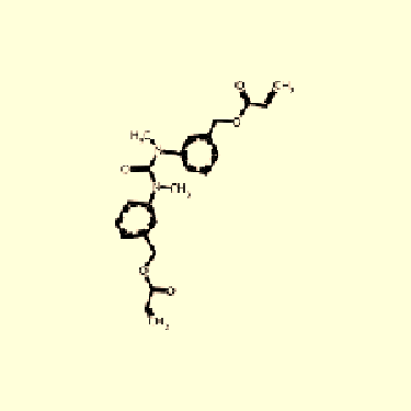 C=CC(=O)OCc1cccc(N(C)C(=O)N(C)c2cccc(COC(=O)C=C)c2)c1